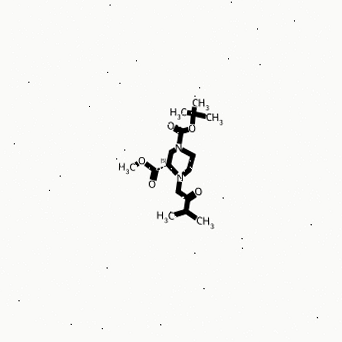 COC(=O)[C@@H]1CN(C(=O)OC(C)(C)C)CCN1CC(=O)C(C)C